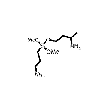 CO[Si](CCCN)(OC)OCCC(C)N